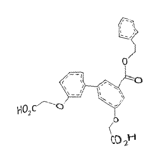 O=C(O)COc1cccc(-c2cc(OCC(=O)O)cc(C(=O)OCc3ccccc3)c2)c1